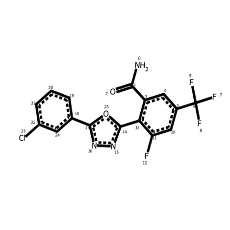 NC(=O)c1cc(C(F)(F)F)cc(F)c1-c1nnc(-c2cccc(Cl)c2)o1